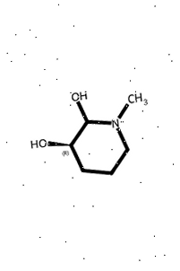 CN1CCC[C@@H](O)C1O